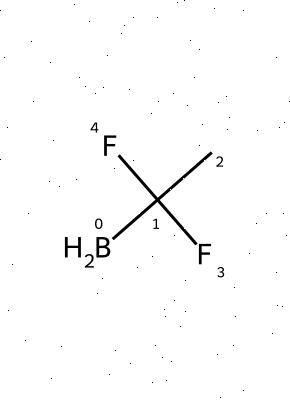 BC(C)(F)F